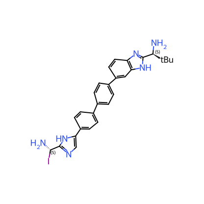 CC(C)(C)[C@H](N)c1nc2ccc(-c3ccc(-c4ccc(-c5cnc([C@@H](N)I)[nH]5)cc4)cc3)cc2[nH]1